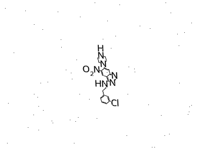 O=[N+]([O-])c1cc2c(NCCc3cccc(Cl)c3)ncnc2cc1N1CCNCC1